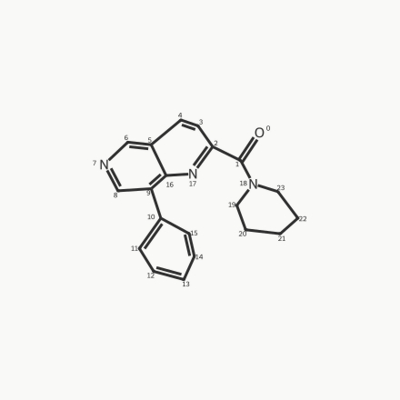 O=C(c1ccc2cncc(-c3ccccc3)c2n1)N1CCCCC1